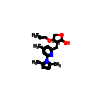 C=CCO[C@H]1COC(O)[C@H]1Cc1cc(C)cc(-n2c(C)ccc2C)n1